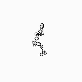 O=C1CCCN1CCCOc1ccc2c(C3CCN(C(=O)Nc4ccc(N5CCOCC5)cc4)CC3)ncnc2c1